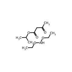 CC(=O)CC(=O)OC(C)C.CC[O][AlH][O]CC